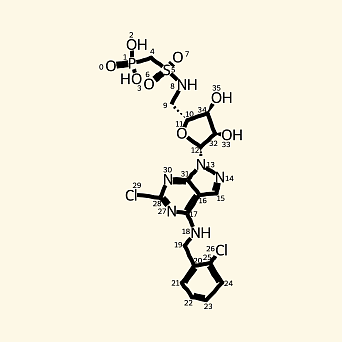 O=P(O)(O)CS(=O)(=O)NC[C@H]1O[C@@H](n2ncc3c(NCc4ccccc4Cl)nc(Cl)nc32)[C@H](O)[C@@H]1O